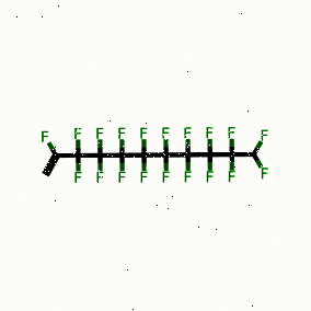 C=C(F)C(F)(F)C(F)(F)C(F)(F)C(F)(F)C(F)(F)C(F)(F)C(F)(F)C(F)(F)C(F)F